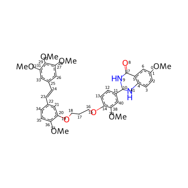 COc1ccc2c(c1)C(=O)NC(c1ccc(OCCCOc3cc(C=Cc4cc(OC)c(OC)c(OC)c4)ccc3OC)c(OC)c1)N2